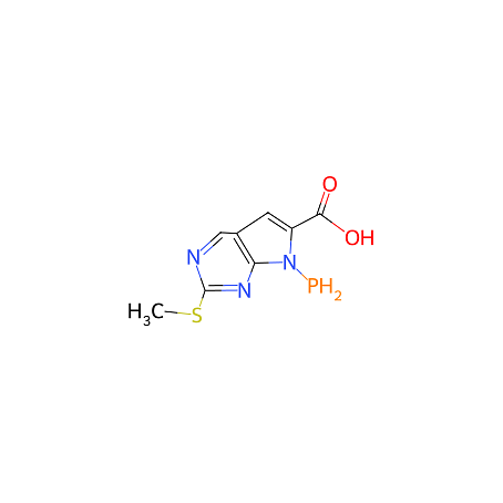 CSc1ncc2cc(C(=O)O)n(P)c2n1